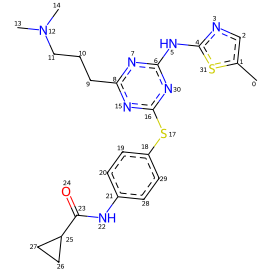 Cc1cnc(Nc2nc(CCCN(C)C)nc(Sc3ccc(NC(=O)C4CC4)cc3)n2)s1